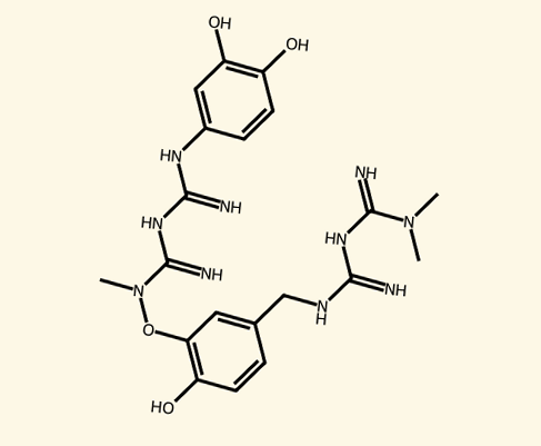 CN(C)C(=N)NC(=N)NCc1ccc(O)c(ON(C)C(=N)NC(=N)Nc2ccc(O)c(O)c2)c1